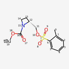 Cc1ccccc1S(=O)(=O)OC[C@H]1CCN1C(=O)OC(C)(C)C